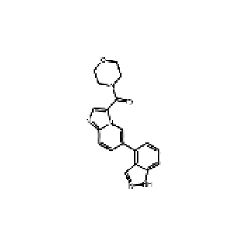 O=C(c1cnc2ccc(-c3cccc4[nH]ncc34)cn12)N1CCOCC1